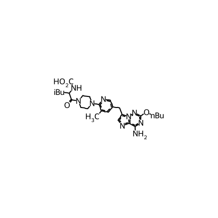 CCCCOc1nc(N)c2ncc(Cc3cnc(N4CCN(C(=O)C(NC(=O)O)C(C)CC)CC4)c(C)c3)n2n1